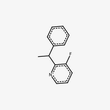 CC(c1ccccc1)c1ncccc1F